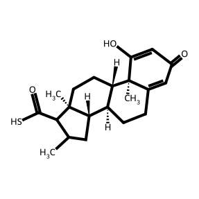 CC1C[C@H]2[C@@H]3CCC4=CC(=O)C=C(O)[C@]4(C)[C@H]3CC[C@]2(C)C1C(=O)S